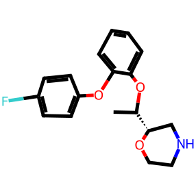 CC(Oc1ccccc1Oc1ccc(F)cc1)[C@@H]1CNCCO1